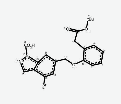 CC(C)(C)OC(=O)Cc1ccccc1OCc1cc(Br)c2cnn(C(=O)O)c2c1